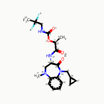 C[C@H](OC(=O)NCC(F)(F)C(F)(F)F)C(=O)N[C@H]1CN(C)c2ccccc2N(CC2CC2)C1=O